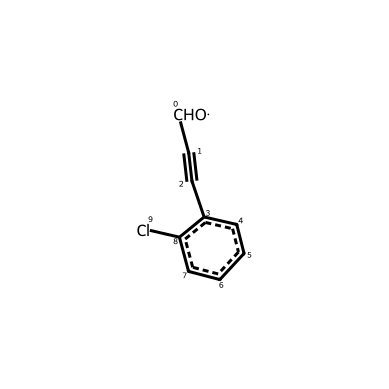 O=[C]C#Cc1ccccc1Cl